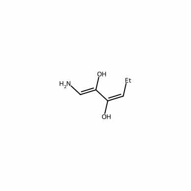 CC/C=C(/O)C(O)=CN